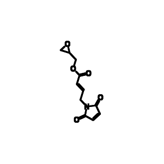 O=C(C=CCN1C(=O)C=CC1=O)OCC1CO1